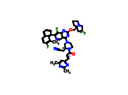 Cc1cc(/C=C/C(=O)N2CCN(c3nc(OC[C@@]45CCCN4C[C@H](F)C5)nc4c(F)c(-c5cccc6ccc(F)c(C)c56)ncc34)C[C@@H]2CC#N)nc(C)n1